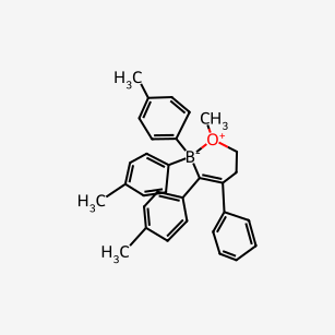 Cc1ccc(C2=C(c3ccccc3)CC[O+](C)[B-]2(c2ccc(C)cc2)c2ccc(C)cc2)cc1